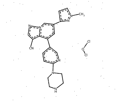 ClOCl.Cn1ccc(-c2cc(-c3ccc(N4CCNCC4)nc3)c3c(C#N)cnn3c2)n1